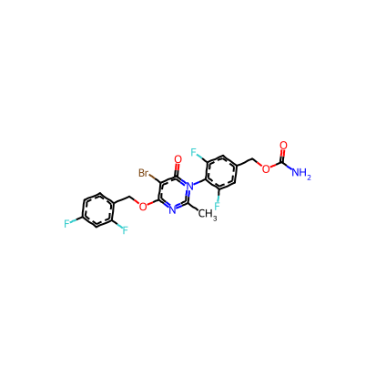 Cc1nc(OCc2ccc(F)cc2F)c(Br)c(=O)n1-c1c(F)cc(COC(N)=O)cc1F